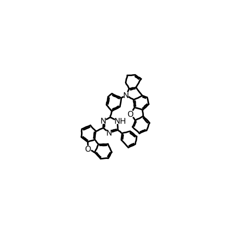 C1=Cc2c(n(-c3cccc(C4N=C(c5cccc6oc7ccccc7c56)N=C(c5ccccc5)N4)c3)c3c2ccc2c4ccccc4oc23)CC1